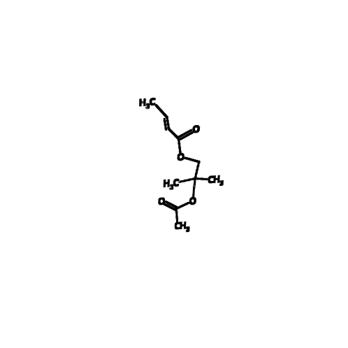 C/C=C/C(=O)OCC(C)(C)OC(C)=O